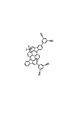 N#Cc1cc(C#N)cc(-c2ccc3c(c2)c2ccccc2n3-c2ccncc2-c2cc(C(F)(F)F)ccc2-n2c3ccccc3c3cc(-c4cc(C#N)cc(C#N)c4)ccc32)c1